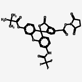 CC(C)(C)C(=O)Oc1ccc2c(c1)Oc1cc(NC(=O)C(F)(F)F)ccc1C21OC(=O)c2cc(C(=O)ON3C(=O)CCC3=O)ccc21